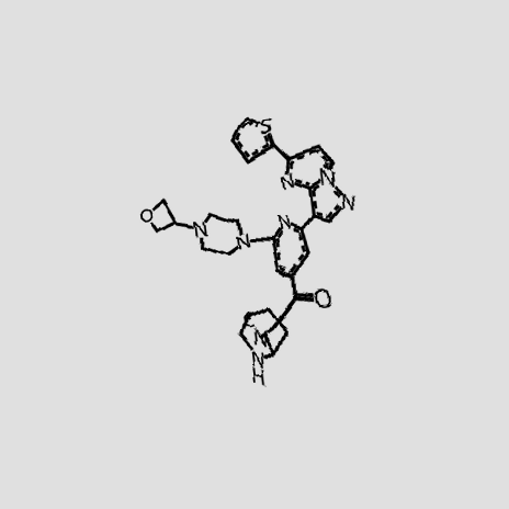 O=C(c1cc(-c2cnn3ccc(-c4cccs4)nc23)nc(N2CCN(C3COC3)CC2)c1)N1CC2CCC(C1)NC2